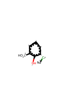 O=C(O)c1ccccc1O.[Na][Cl]